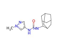 Cn1cc(NC(=O)NC2C3CC4CC(C3)CC2C4)cn1